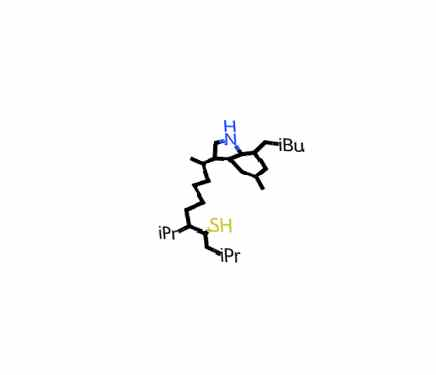 CCC(C)CC1CC(C)CC2C(C(C)CCCCC(C(C)C)C(S)CC(C)C)CNC12